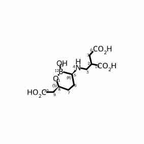 O=C(O)CC(CN[C@H]1CC[C@@H](CC(=O)O)OB1O)C(=O)O